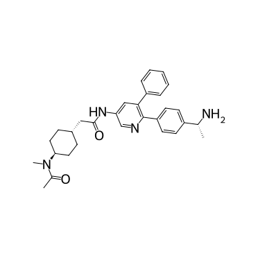 CC(=O)N(C)[C@H]1CC[C@H](CC(=O)Nc2cnc(-c3ccc([C@@H](C)N)cc3)c(-c3ccccc3)c2)CC1